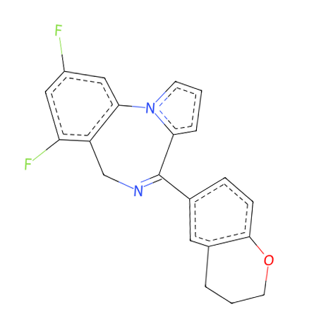 Fc1cc(F)c2c(c1)-n1cccc1C(c1ccc3c(c1)CCCO3)=NC2